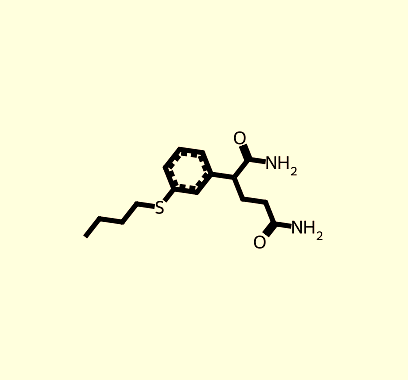 CCCCSc1cccc(C(CCC(N)=O)C(N)=O)c1